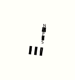 C=C.C=C.C=C.N#P=S